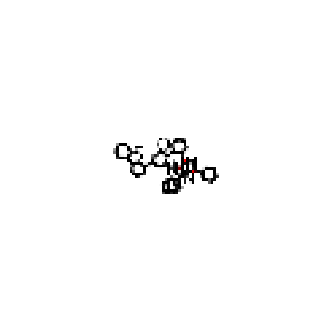 c1ccc(-c2nc(-c3ccccc3)nc(-c3cccc4oc5cc(-c6cccc7c6sc6ccccc67)cc(-n6c7ccccc7c7ccccc76)c5c34)n2)cc1